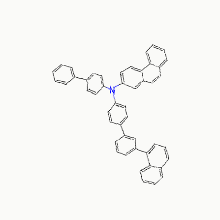 c1ccc(-c2ccc(N(c3ccc(-c4cccc(-c5cccc6ccccc56)c4)cc3)c3ccc4c(ccc5ccccc54)c3)cc2)cc1